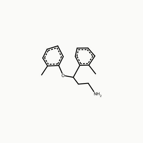 Cc1ccccc1OC(CCN)c1ccccc1C